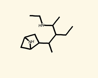 CCNC(C)C(CC)C(C)C1CC2CC1N2